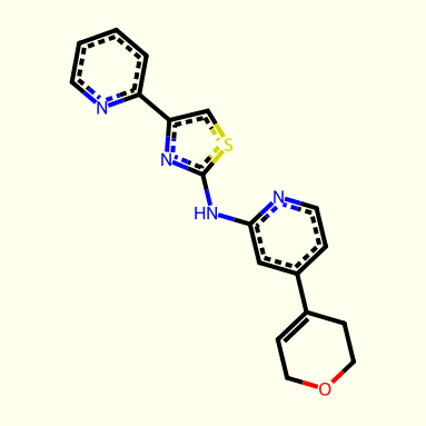 C1=C(c2ccnc(Nc3nc(-c4ccccn4)cs3)c2)CCOC1